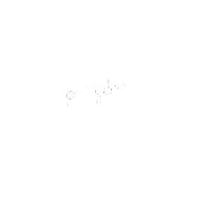 O=C(COc1cccc(F)c1)CC(=O)Nc1ccc(N2CCOCC2)c(F)c1